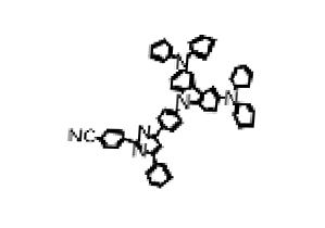 N#Cc1ccc(-c2nc(-c3ccccc3)cc(-c3ccc(-n4c5ccc(N(c6ccccc6)c6ccccc6)cc5c5cc(N(c6ccccc6)c6ccccc6)ccc54)cc3)n2)cc1